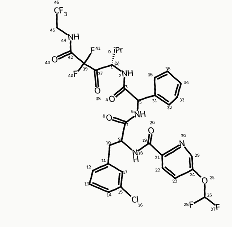 CC(C)[C@H](NC(=O)C(NC(=O)C(Cc1cccc(Cl)c1)NC(=O)c1ccc(OC(F)F)cn1)c1ccccc1)C(=O)C(F)(F)C(=O)NCC(F)(F)F